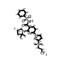 C[C@@H]1CN(c2nc(-n3ccc(S(C)(C)CCC(F)(F)F)n3)ccc2C(=O)NS(=O)(=O)c2ccccc2)C(C)(C)C1